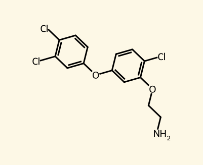 NCCOc1cc(Oc2ccc(Cl)c(Cl)c2)ccc1Cl